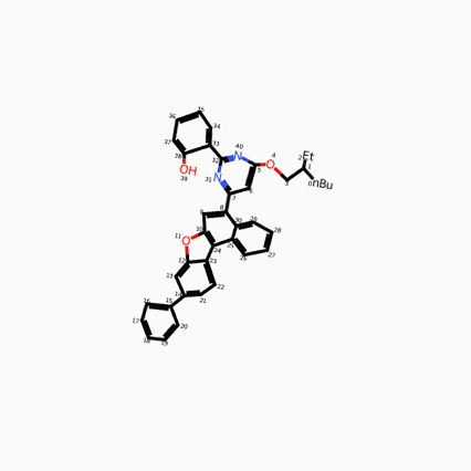 CCCCC(CC)COc1cc(-c2cc3oc4cc(-c5ccccc5)ccc4c3c3ccccc23)nc(-c2ccccc2O)n1